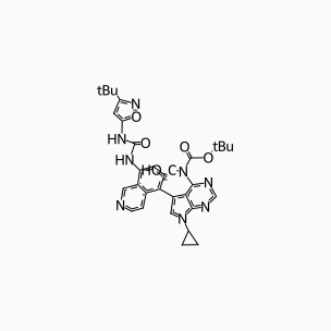 CC(C)(C)OC(=O)N(C(=O)O)c1ncnc2c1c(-c1ccc(NC(=O)Nc3cc(C(C)(C)C)no3)c3cnccc13)cn2C1CC1